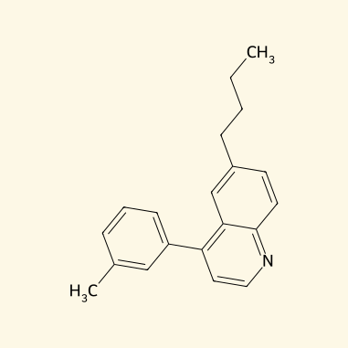 CCCCc1ccc2nccc(-c3cccc(C)c3)c2c1